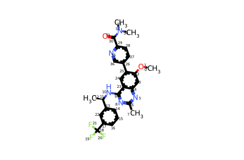 COc1cc2nc(C)nc(N[C@H](C)c3cccc(C(F)(F)F)c3)c2cc1-c1ccc(C(=O)N(C)C)nc1